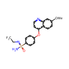 COc1ccc2c(Oc3ccc(S(N)(=O)=NCC(F)(F)F)cc3)ccnc2c1